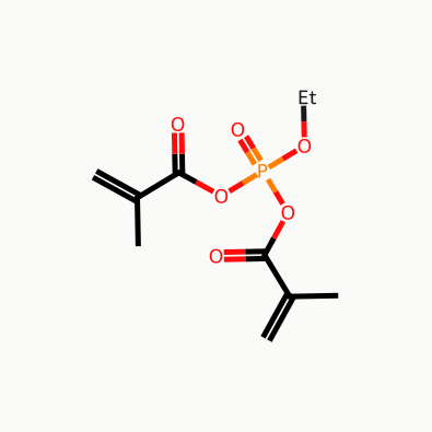 C=C(C)C(=O)OP(=O)(OCC)OC(=O)C(=C)C